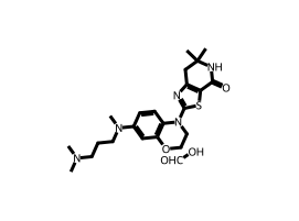 CN(C)CCCN(C)c1ccc2c(c1)OCCN2c1nc2c(s1)C(=O)NC(C)(C)C2.O=CO